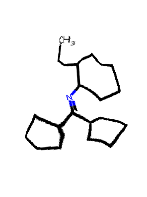 CCC1CCCCC1N=C(C1CCCC1)C1CCCC1